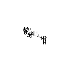 CC(C)(C)OC(=O)N1CCC[C@H]1CC(=O)OC(=O)[C@@H](N)CCCCCCCc1ccc2c(n1)NCCC2